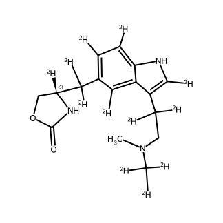 [2H]c1[nH]c2c([2H])c([2H])c(C([2H])([2H])[C@@]3([2H])COC(=O)N3)c([2H])c2c1C([2H])([2H])CN(C)C([2H])([2H])[2H]